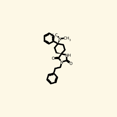 CN(C)[C@]1(c2ccccc2)CC[C@@]2(CC1)NC(=O)N(CCc1ccccc1)C2=O